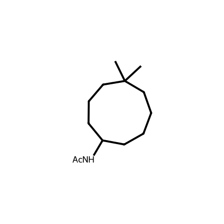 CC(=O)NC1CCCCC(C)(C)CCC1